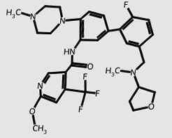 COc1cc(C(F)(F)F)c(C(=O)Nc2cc(-c3cc(CN(C)C4CCOC4)ccc3F)ccc2N2CCN(C)CC2)cn1